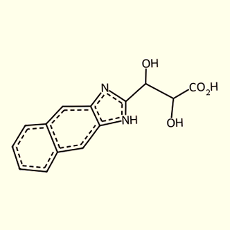 O=C(O)C(O)C(O)c1nc2cc3ccccc3cc2[nH]1